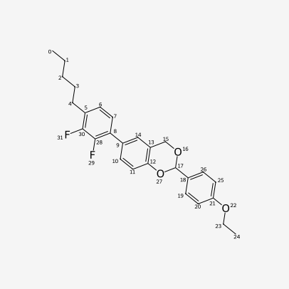 CCCCCc1ccc(-c2ccc3c(c2)COC(c2ccc(OCC)cc2)O3)c(F)c1F